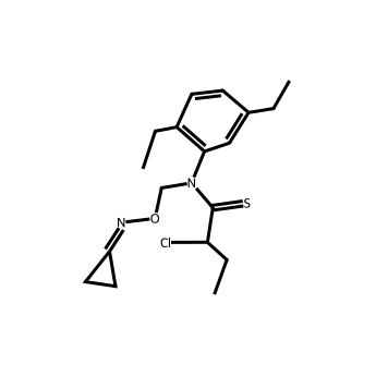 CCc1ccc(CC)c(N(CON=C2CC2)C(=S)C(Cl)CC)c1